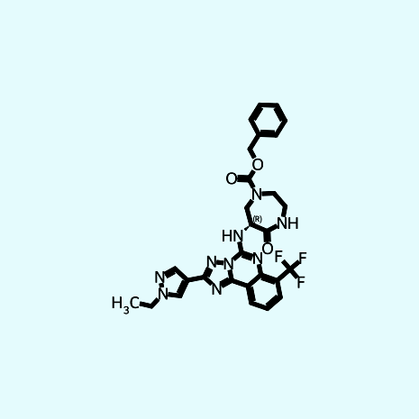 CCn1cc(-c2nc3c4cccc(C(F)(F)F)c4nc(N[C@@H]4CN(C(=O)OCc5ccccc5)CCNC4=O)n3n2)cn1